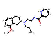 CCCN(CCNC(=O)c1ccccn1)C1CCc2cccc(OC)c2C1